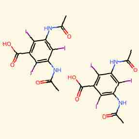 CC(=O)Nc1c(I)c(NC(C)=O)c(I)c(C(=O)O)c1I.CC(=O)Nc1c(I)c(NC(C)=O)c(I)c(C(=O)O)c1I